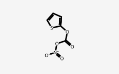 O=C(Oc1cccs1)O[N+](=O)[O-]